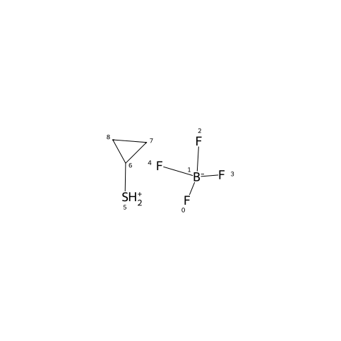 F[B-](F)(F)F.[SH2+]C1CC1